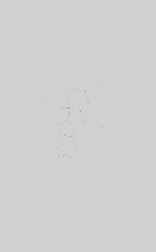 CCC1=CC(CP(=O)(O)O)C(CC)(c2nc3cc(Cl)ccc3o2)C=C1